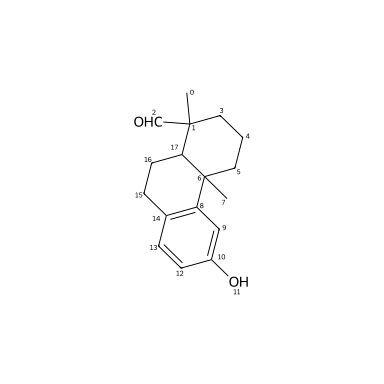 CC1(C=O)CCCC2(C)c3cc(O)ccc3CCC12